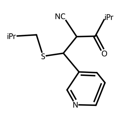 CC(C)CSC(c1cccnc1)C(C#N)C(=O)C(C)C